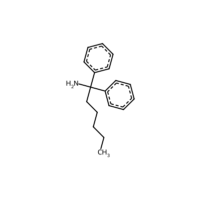 CCCCCC(N)(c1ccccc1)c1ccccc1